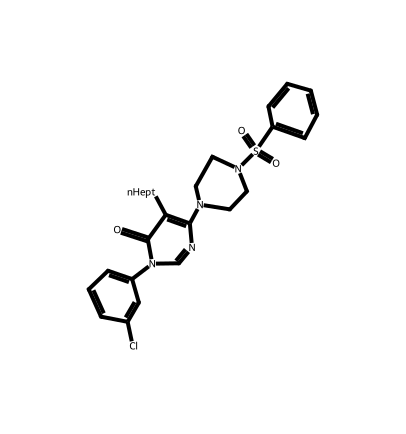 CCCCCCCc1c(N2CCN(S(=O)(=O)c3ccccc3)CC2)ncn(-c2cccc(Cl)c2)c1=O